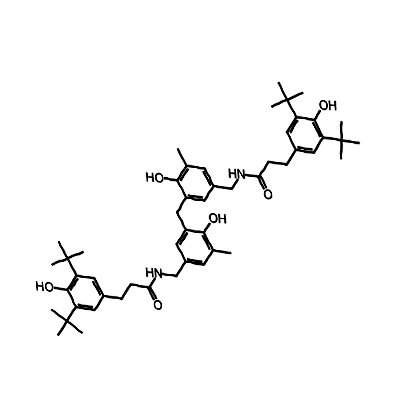 Cc1cc(CNC(=O)CCc2cc(C(C)(C)C)c(O)c(C(C)(C)C)c2)cc(Cc2cc(CNC(=O)CCc3cc(C(C)(C)C)c(O)c(C(C)(C)C)c3)cc(C)c2O)c1O